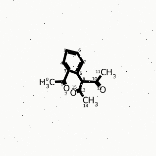 CC(=O)c1ccccc1C(C(C)=O)C(C)=O